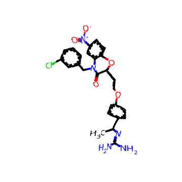 CC(N=C(N)N)c1ccc(OCCC2Oc3ccc([N+](=O)[O-])cc3N(Cc3cccc(Cl)c3)C2=O)cc1